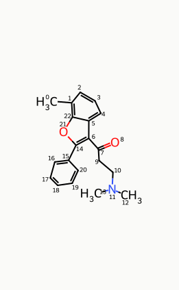 Cc1cccc2c(C(=O)CCN(C)C)c(-c3ccccc3)oc12